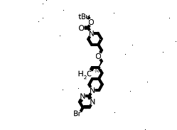 C=C[C@@H](COCC1CCN(C(=O)OC(C)(C)C)CC1)CC1CCN(c2ncc(Br)cn2)CC1